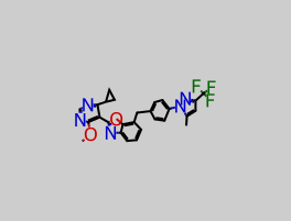 COc1ncnc(C2CC2)c1-c1nc2cccc(Cc3ccc(-n4nc(C(F)(F)F)cc4C)cc3)c2o1